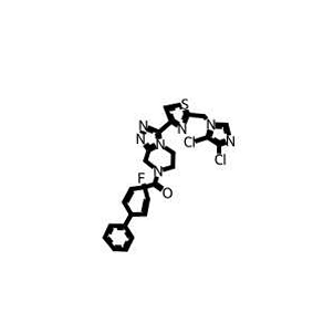 O=C(N1CCn2c(nnc2-c2csc(Cn3cnc(Cl)c3Cl)n2)C1)C1(F)C=CC(c2ccccc2)C=C1